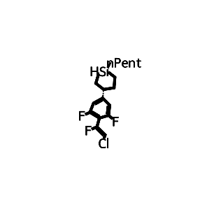 CCCCC[Si@H]1CC[C@H](c2cc(F)c(C(F)=CCl)c(F)c2)CC1